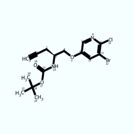 C#CC[C@@H](COc1cnc(Cl)c(Br)c1)NC(=O)OC(C)(C)C